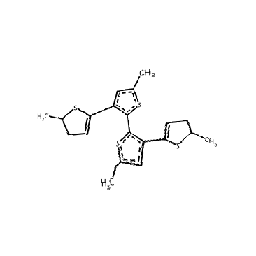 Cc1cc(C2=CCC(C)S2)c(-c2sc(C)cc2C2=CCC(C)S2)s1